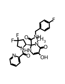 CN1C(=O)C(O)=CNC1(C(=O)NCc1ccc(F)cc1)[C@@H]1CC(F)(F)CN1C(=O)c1ccccn1